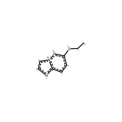 CCSc1ccc2nccn2n1